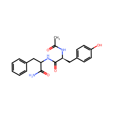 CC(=O)N[C@@H](Cc1ccc(O)cc1)C(=O)NC(Cc1ccccc1)C(N)=O